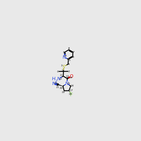 CC(C)(SCc1ccccn1)C(N)C(=O)N1C[C@@H](F)C[C@H]1C#N